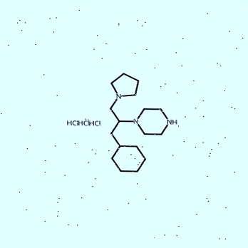 C1CCC(CC(CN2CCCC2)N2CCNCC2)CC1.Cl.Cl.Cl